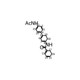 CC(=O)Nc1ccc(C2=CC=C(NC(=O)C3=CC=CCC3)CC2)cc1